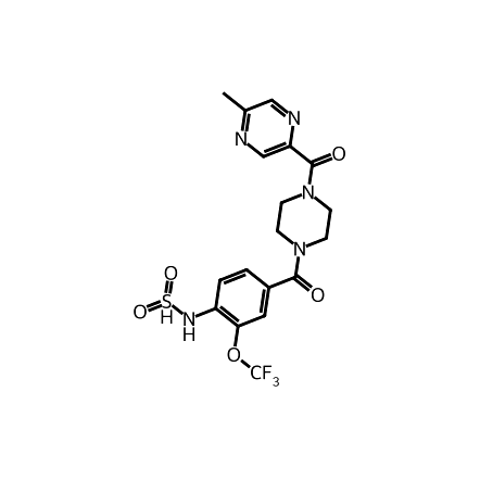 Cc1cnc(C(=O)N2CCN(C(=O)c3ccc(N[SH](=O)=O)c(OC(F)(F)F)c3)CC2)cn1